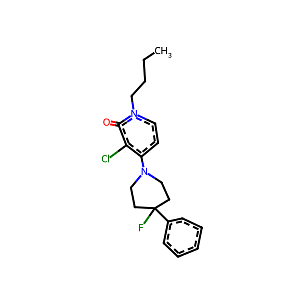 CCCCn1ccc(N2CCC(F)(c3ccccc3)CC2)c(Cl)c1=O